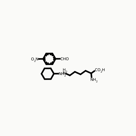 NC1CCCCC1.NCCCCC(N)C(=O)O.O=Cc1ccc([N+](=O)[O-])cc1